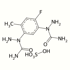 Cc1cc(F)c(N(N)C(N)=O)cc1N(N)C(N)=O.O=S(=O)(O)O